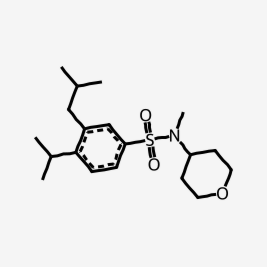 CC(C)Cc1cc(S(=O)(=O)N(C)C2CCOCC2)ccc1C(C)C